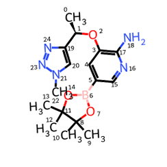 C[C@@H](Oc1cc(B2OC(C)(C)C(C)(C)O2)cnc1N)c1cn(C)nn1